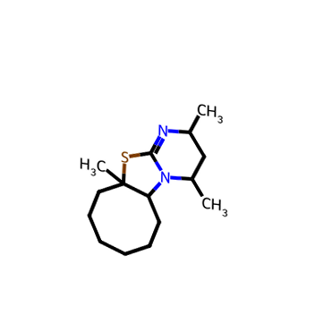 CC1CC(C)N2C(=N1)SC1(C)CCCCCCC21